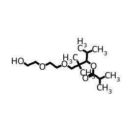 CC(C)C(=O)OC(C(C)C)C(C)(C)COCCOCCO